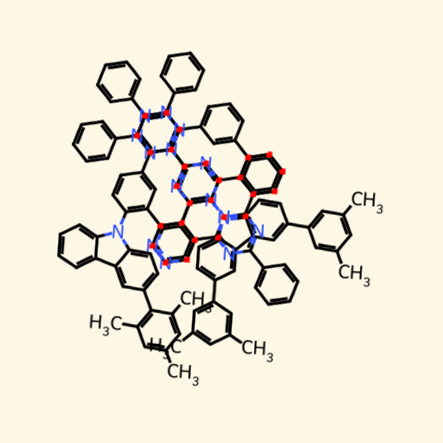 Cc1cc(C)cc(-c2ccc3c(c2)c2cc(-c4cc(C)cc(C)c4)ccc2n3-c2ccc(-c3nc(-c4ccccc4)nc(-c4ccccc4)n3)cc2-c2cnccc2-c2nc(-c3ccccc3)nc(-c3cccc(-c4cccc(-c5nc(-c6ccccc6)nc(-c6ccc(-n7c8ccccc8c8cc(-c9c(C)cc(C)cc9C)ccc87)c(-c7cnccc7-c7nc(-c8ccccc8)nc(-c8ccccc8)n7)c6)n5)c4)c3)n2)c1